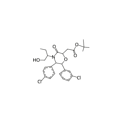 CCC(CO)N1C(=O)C(CC(=O)OC(C)(C)C)OC(c2cccc(Cl)c2)C1c1ccc(Cl)cc1